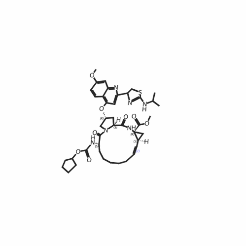 COC(=O)[C@@]12C[C@H]1/C=C\CCCCC[C@H](NC(=O)OC1CCCC1)C(=O)N1C[C@H](Oc3cc(C4CSC(NC(C)C)=N4)nc4cc(OC)ccc34)C[C@H]1C(=O)N2